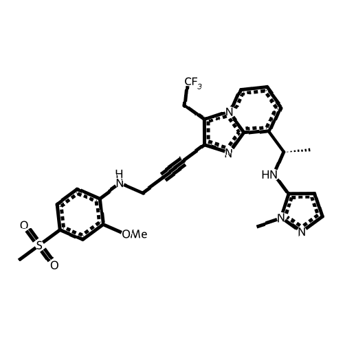 COc1cc(S(C)(=O)=O)ccc1NCC#Cc1nc2c([C@H](C)Nc3ccnn3C)cccn2c1CC(F)(F)F